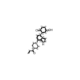 C=CC(=O)N1CCN(c2ccc(-c3cc(O)ccc3Cl)c3cn[nH]c23)CC1